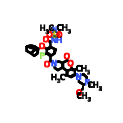 COC[C@H]1CN(c2cc(C)c3c4c(c(=O)oc3c2C)CN(C(=O)c2ccc(C(=O)NS(=O)(=O)N(C)C)c(OC3C5CC6CC(C5)CC3C6)c2F)CC4)CCN1C